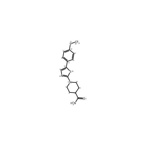 NC(=O)C1CCN(c2ncc(-c3ccc(SC(F)(F)F)cc3)s2)CC1